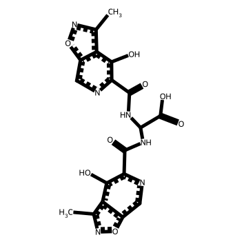 Cc1noc2cnc(C(=O)NC(NC(=O)c3ncc4onc(C)c4c3O)C(=O)O)c(O)c12